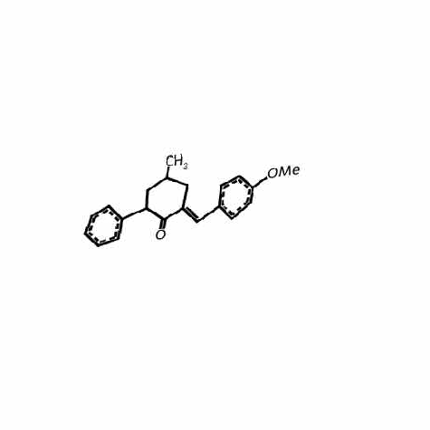 COc1ccc(C=C2CC(C)CC(c3ccccc3)C2=O)cc1